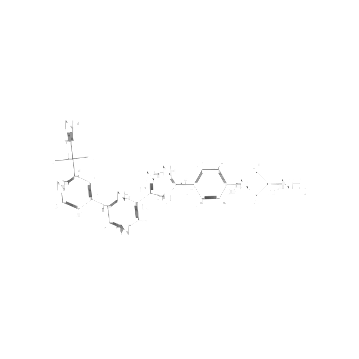 CC(C)(C#N)c1cc(-c2cncc(-c3nnc(-c4ccc(N5CC(N)C5)cc4)o3)n2)ccn1